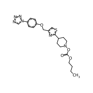 CCCCOC(=O)ON1CCC(c2nc(COc3ccc(-n4cnnn4)cc3)cs2)CC1